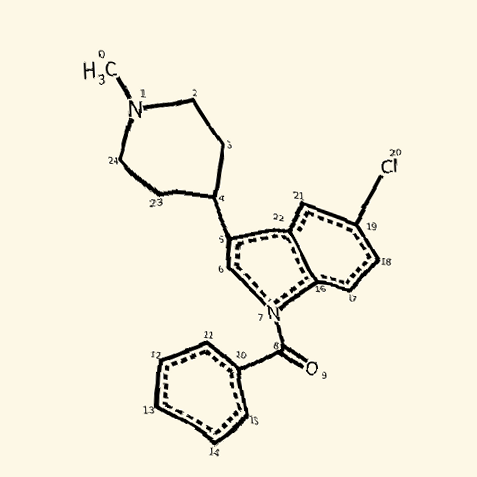 CN1CCC(c2cn(C(=O)c3ccccc3)c3ccc(Cl)cc23)CC1